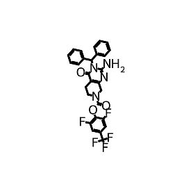 Nc1nc2c(c(=O)n1C(c1ccccc1)c1ccccc1)CCN(C(=O)Oc1c(F)cc(C(F)(F)F)cc1F)C2